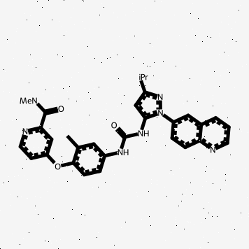 CNC(=O)c1cc(Oc2ccc(NC(=O)Nc3cc(C(C)C)nn3-c3ccc4ncccc4c3)cc2C)ccn1